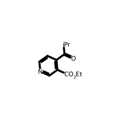 CCOC(=O)c1cnccc1C(=O)C(C)C